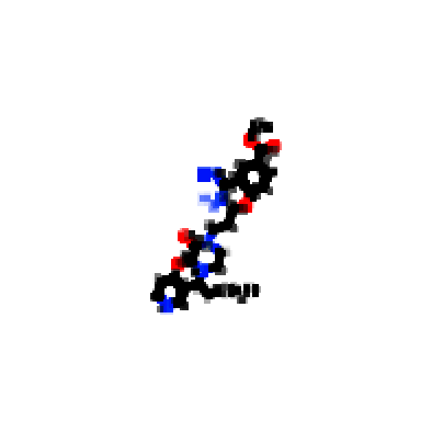 CCOC(=O)CC(c1cccnc1)N1CCN(CCCOc2ccc(C(=O)OC(C)(C)C)cc2C(=N)N)C(=O)C1=O